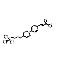 COC(=O)C=Cc1ccc(C2CCC(CCCC[Si](Cl)(Cl)Cl)CC2)cc1